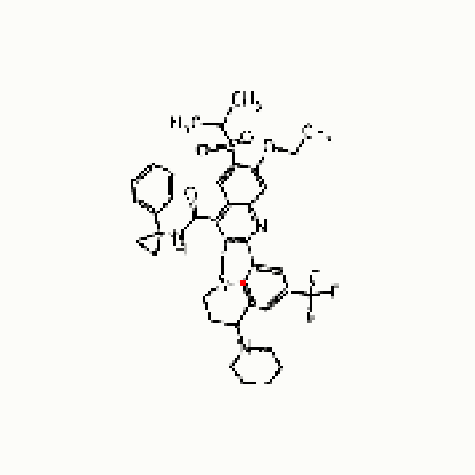 CCOc1cc2nc(-c3cccc(C(F)(F)F)c3)c(CN3CCC(N4CCCCC4)CC3)c(C(=O)NC3(c4ccccc4)CC3)c2cc1S(=O)(=O)C(C)C